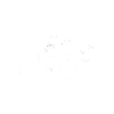 C/[N+](O)=C/c1c2cccccc-2c(C2C(C#N)=C(c3ccccc3)ON2C(C)(C)C)c1[Si](C)(C)C(C)(C)C